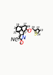 N#CC1=C2C(=NC1=O)c1c(OCc3cccs3)ccc3cccc2c13